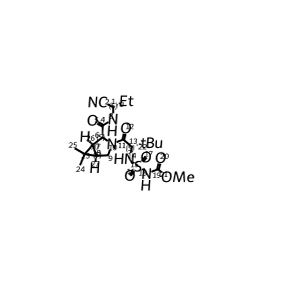 CC[C@@H](C#N)NC(=O)[C@@H]1[C@@H]2[C@H](CN1C(=O)[C@@H](NS(=O)(=O)NC(=O)OC)C(C)(C)C)C2(C)C